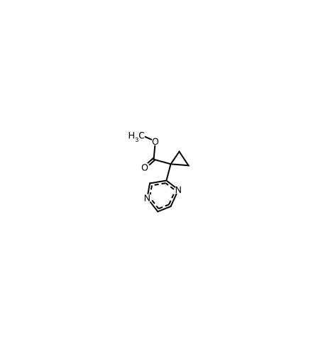 COC(=O)C1(c2cnccn2)CC1